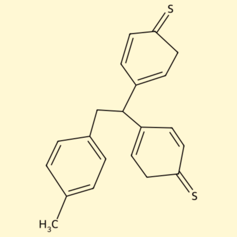 Cc1ccc(CC(C2=CCC(=S)C=C2)C2=CCC(=S)C=C2)cc1